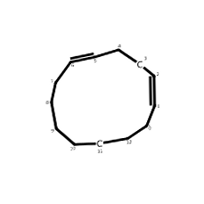 [CH]1C=CCCC=CCCCCCC1